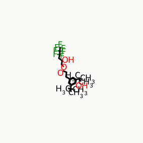 CC(C)(C)c1cc(CCC(=O)OCC(O)CC(F)(F)C(F)(F)C(F)(F)F)cc(C(C)(C)C)c1O